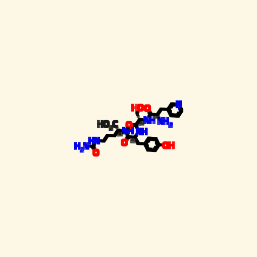 NC(=O)NCCC[C@@H](NC(=O)[C@H](Cc1ccc(O)cc1)NC(=O)[C@H](CO)NC(=O)[C@@H](N)Cc1cccnc1)C(=O)O